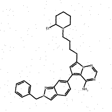 CCC1CCCCN1CCCCc1cc(-c2ccc3cn(Cc4ccccc4)nc3c2)c2c(N)ncnn12